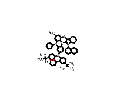 Cc1cc2c3c(c1)N(c1ccccc1)c1cc(N(c4ccc(C(C)(C)C)cc4)c4ccc(C(C)(C)C)cc4-c4ccccc4)ccc1B3c1c(c3c(n1-c1cccc4ccccc14)CCCC3)S2